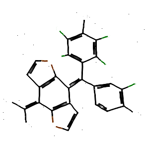 N#CC(C#N)=c1c2ccsc2/c(=C(/c2ccc(C#N)c(F)c2)c2c(F)c(F)c(C#N)c(F)c2F)c2ccsc12